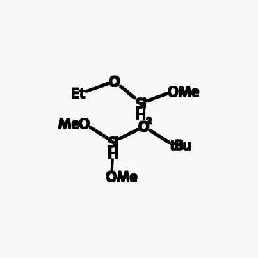 CCO[SiH2]OC.CO[SiH](OC)OC(C)(C)C